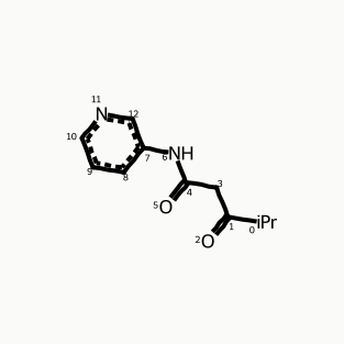 CC(C)C(=O)CC(=O)Nc1cccnc1